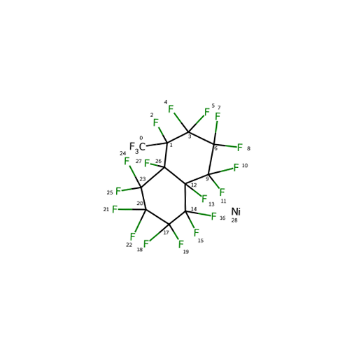 FC(F)(F)C1(F)C(F)(F)C(F)(F)C(F)(F)C2(F)C(F)(F)C(F)(F)C(F)(F)C(F)(F)C12F.[Ni]